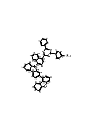 CCCCc1ccc(-c2nc(-c3ccccc3)nc(-c3ccc(-n4c5ccccc5c5ccc(-c6cccc7oc8ccccc8c67)cc54)c4ccccc34)n2)cc1